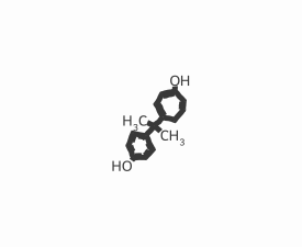 CC(C)(C1=CC=C(O)C=CC1)c1ccc(O)cc1